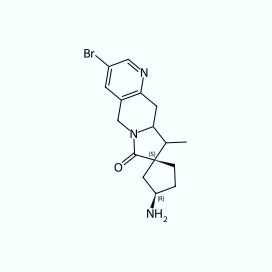 CC1C2Cc3ncc(Br)cc3CN2C(=O)[C@]12CC[C@@H](N)C2